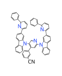 N#Cc1cccc(-c2cc(-n3c4ccccc4c4ccc(-c5cccc(-c6ccccc6)n5)cc43)ncc2-n2c3ccccc3c3ccc(-c4cccc(-c5ccccc5)n4)cc32)c1